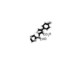 O=CN(c1cnccn1)c1scc(-c2ccc(Br)cc2)c1C(=O)O